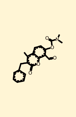 Cc1c(Cc2ccccc2)c(=O)oc2c(C=O)c(OC(=O)N(C)C)ccc12